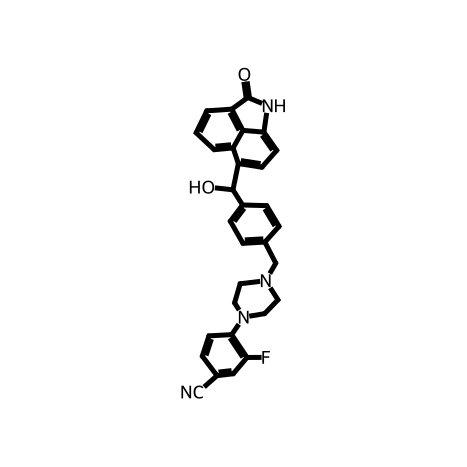 N#Cc1ccc(N2CCN(Cc3ccc(C(O)c4ccc5c6c(cccc46)C(=O)N5)cc3)CC2)c(F)c1